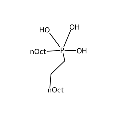 CCCCCCCCCCP(O)(O)(O)CCCCCCCC